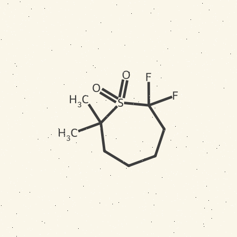 CC1(C)CCCCC(F)(F)S1(=O)=O